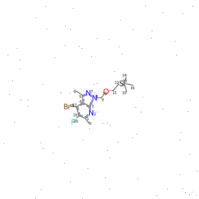 Cc1nc2c(c(C)nn2COCC[Si](C)(C)C)c(Br)c1F